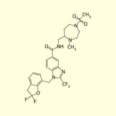 CN1CCN(S(C)(=O)=O)CCC1CNC(=O)c1ccc2c(c1)nc(C(F)(F)F)n2Cc1cccc2c1OC(F)(F)C2